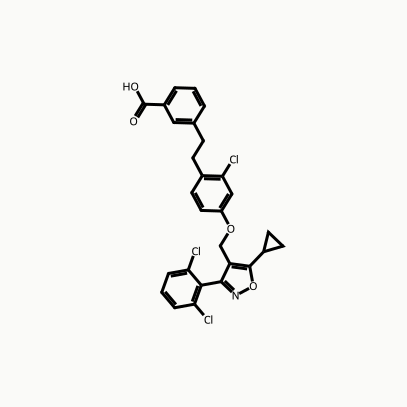 O=C(O)c1cccc(CCc2ccc(OCc3c(-c4c(Cl)cccc4Cl)noc3C3CC3)cc2Cl)c1